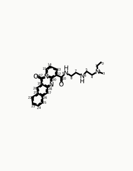 CCN(C)CCNCCNC(=O)c1cccn2c(=O)c3cc4ccccc4cc3nc12